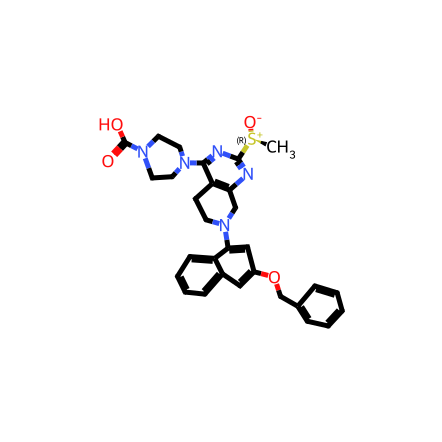 C[S@+]([O-])c1nc2c(c(N3CCN(C(=O)O)CC3)n1)CCN(c1cc(OCc3ccccc3)cc3ccccc13)C2